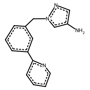 Nc1cnn(Cc2cccc(-c3ccccn3)c2)c1